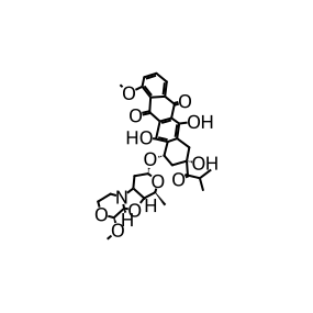 COc1cccc2c1C(=O)c1c(O)c3c(c(O)c1C2=O)C[C@@](O)(C(=O)C(C)C)C[C@@H]3O[C@H]1CC2[C@H](O[C@@H]3[C@@H](OC)OCCN23)[C@H](C)O1